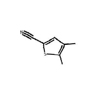 Cc1cc(C#N)sc1C